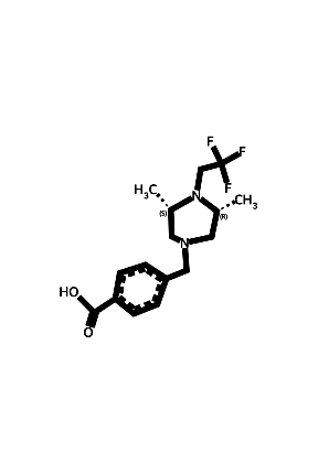 C[C@@H]1CN(Cc2ccc(C(=O)O)cc2)C[C@H](C)N1CC(F)(F)F